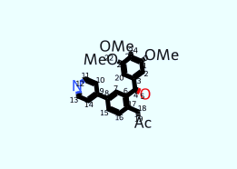 COc1cc(C(=O)c2cc(-c3ccncc3)ccc2CC(C)=O)cc(OC)c1OC